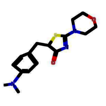 CN(C)c1ccc(CC2SC(N3CCOCC3)=NC2=O)cc1